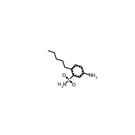 CCCCCc1ccc(N)cc1S(N)(=O)=O